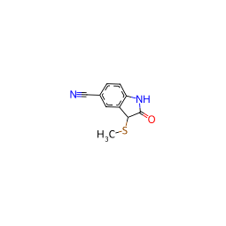 CSC1C(=O)Nc2ccc(C#N)cc21